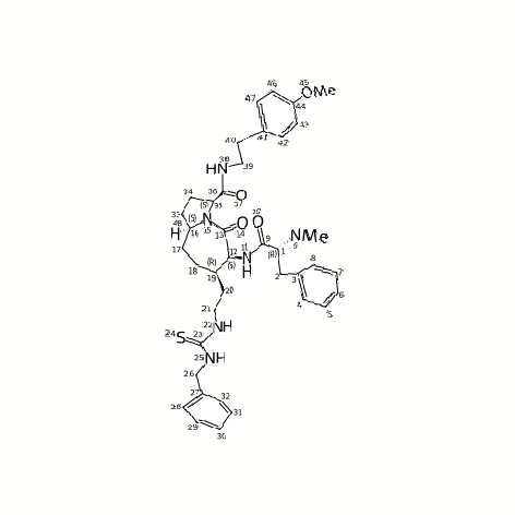 CN[C@H](Cc1ccccc1)C(=O)N[C@@H]1C(=O)N2[C@@H](CC[C@@H]1CCNC(=S)NCc1ccccc1)CC[C@H]2C(=O)NCCc1ccc(OC)cc1